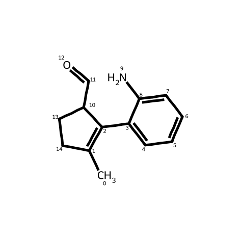 CC1=C(c2ccccc2N)C(C=O)CC1